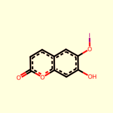 O=c1ccc2cc(OI)c(O)cc2o1